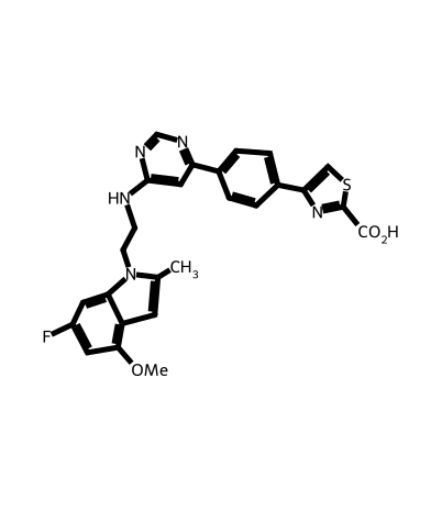 COc1cc(F)cc2c1cc(C)n2CCNc1cc(-c2ccc(-c3csc(C(=O)O)n3)cc2)ncn1